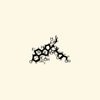 C[C@@H]1C[C@H]2[C@@H]3C[C@H](F)C4=CC(=O)C=C[C@]4(C)[C@@]3(F)[C@@H](O)C[C@]2(C)[C@@]1(OC(=O)c1cc(CO)co1)C(=O)SCF